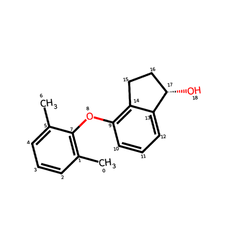 Cc1cccc(C)c1Oc1cccc2c1CC[C@@H]2O